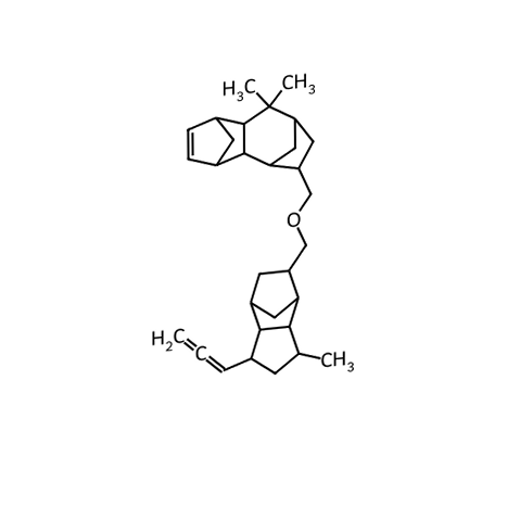 C=C=CC1CC(C)C2C3CC(CC3COCC3CC4CC3C3C5C=CC(C5)C3C4(C)C)C12